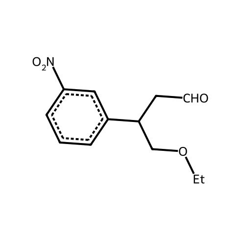 CCOCC(CC=O)c1cccc([N+](=O)[O-])c1